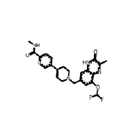 CNC(=O)c1ccc(C2=CCN(Cc3cc(OC(F)F)c4nc(C)c(=O)[nH]c4c3)CC2)cn1